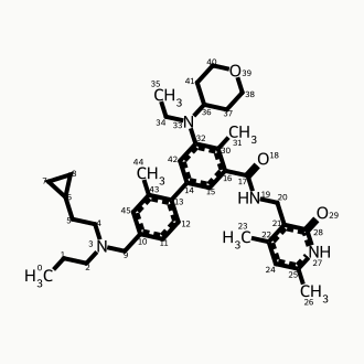 CCCN(CCC1CC1)Cc1ccc(-c2cc(C(=O)NCc3c(C)cc(C)[nH]c3=O)c(C)c(N(CC)C3CCOCC3)c2)c(C)c1